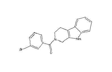 O=C(c1cccc(Br)c1)N1CCc2c([nH]c3ccccc23)C1